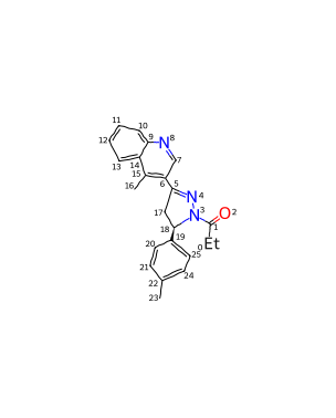 CCC(=O)N1N=C(c2cnc3ccccc3c2C)C[C@@H]1c1ccc(C)cc1